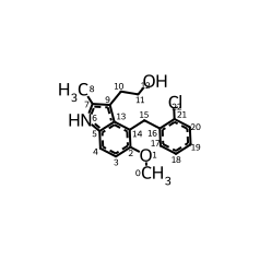 COc1ccc2[nH]c(C)c(CCO)c2c1Cc1ccccc1Cl